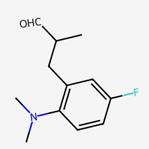 CC(C=O)Cc1cc(F)ccc1N(C)C